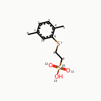 Cc1ccc(C)c(SCCS(=O)(=O)O)c1